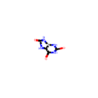 O=c1[nH]c(=O)c2[nH]c(=O)[nH][si]2[nH]1